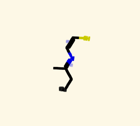 C/C(CC(C)(C)C)=N\C=C/S